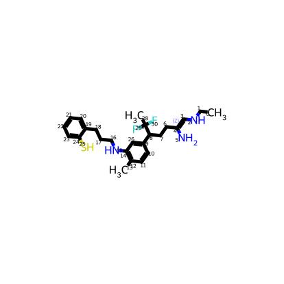 CCN/C=C(\N)CCC(c1ccc(C)c(NCCCc2ccccc2S)c1)C(C)(F)F